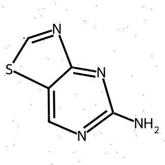 Nc1ncc2s[c]nc2n1